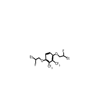 CCC(F)COc1ccc(OCC(F)CC)c(C(F)(F)F)c1C(F)(F)F